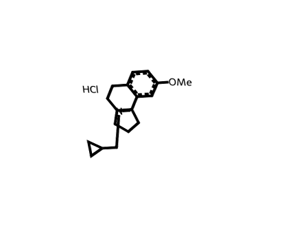 COc1ccc2c(c1)C13CCCC1(CC2)CN(CC1CC1)CC3.Cl